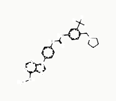 CNc1ncnc2c1ncn2-c1ccc(NC(=O)Nc2ccc(CN3CCCC3)c(C(F)(F)F)c2)cc1